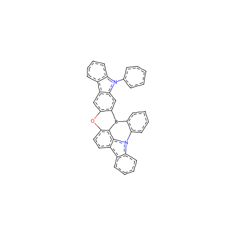 c1ccc(-n2c3ccccc3c3cc4c(cc32)B2c3ccccc3-n3c5ccccc5c5ccc(c2c53)O4)cc1